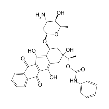 C[C@H]1O[C@@H](O[C@H]2CC(O)([C@@H](C)OC(=O)Nc3ccccc3)Cc3c(O)c4c(c(O)c32)C(=O)c2ccccc2C4=O)C[C@H](N)[C@H]1O